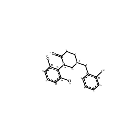 O=C1CCN(Cc2ccccc2F)CN1c1c(Cl)cccc1Cl